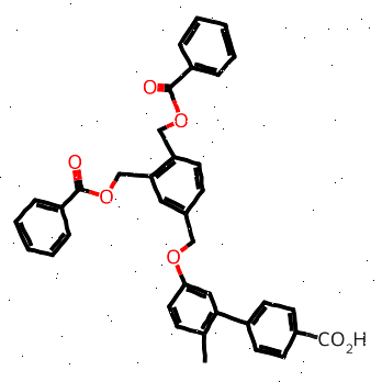 Cc1ccc(OCc2ccc(COC(=O)c3ccccc3)c(COC(=O)c3ccccc3)c2)cc1-c1ccc(C(=O)O)cc1